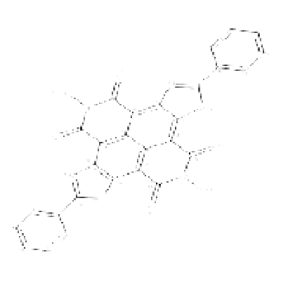 CN1C(=O)c2c3nc(-c4ccccc4)sc3c3c4c(c5sc(-c6ccccc6)nc5c(c24)C1=O)C(=O)N(C)C3=O